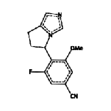 COc1cc(C#N)cc(F)c1C1CCc2cncn21